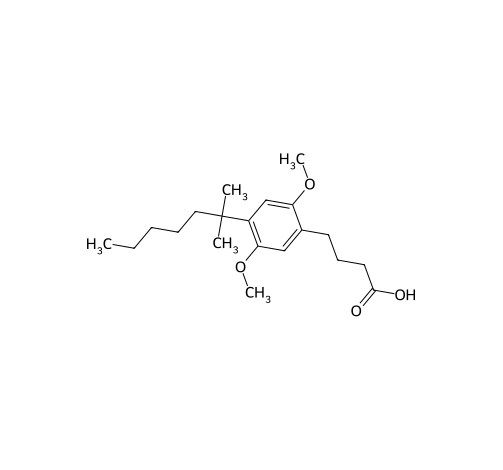 CCCCCC(C)(C)c1cc(OC)c(CCCC(=O)O)cc1OC